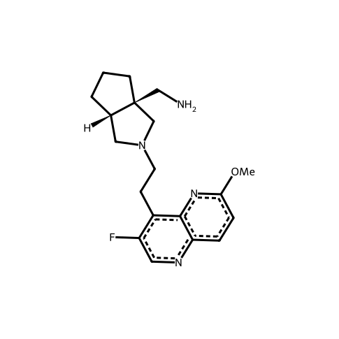 COc1ccc2ncc(F)c(CCN3C[C@@H]4CCC[C@]4(CN)C3)c2n1